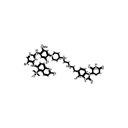 CCc1ccc2c(P(C)(C)=O)c(Nc3nc(Nc4cc(CC)c(N5CCC(NCCNCCc6ccc7c(oc(=O)n7C7CCC(=O)NC7=O)c6F)CC5)cc4OC)ncc3Br)ccc2n1